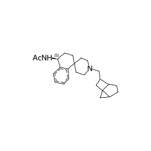 CC(=O)N[C@H]1CCC2(CCN(CC3CC45CC4CCC35)CC2)c2ccccc21